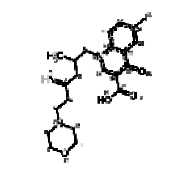 CC(CC(=N)CCN1CCOCC1)Cn1cc(C(=O)O)c(=O)c2cc(I)ccc21